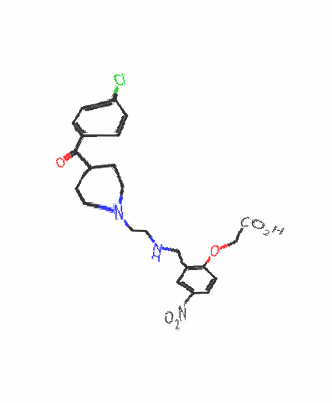 O=C(O)COc1ccc([N+](=O)[O-])cc1CNCCN1CCC(C(=O)c2ccc(Cl)cc2)CC1